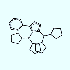 c1ccc(-c2scc(P(C3CCCC3)C3CCCC3)c2P(C2CCCC2)C2CCCC2)cc1